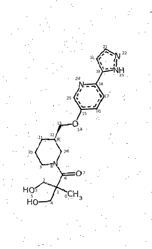 CC(CO)(CO)C(=O)N1CCC[C@@H](COc2ccc(-c3ccn[nH]3)nc2)C1